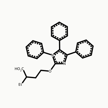 CCC(CCOc1nc(-c2ccccc2)c(-c2ccccc2)n1-c1ccccc1)C(=O)O